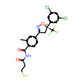 Cc1cc(C2=NO[C@@](c3cc(Cl)cc(Cl)c3)(C(F)(F)F)C2)ccc1C(=O)NC(=O)CCS